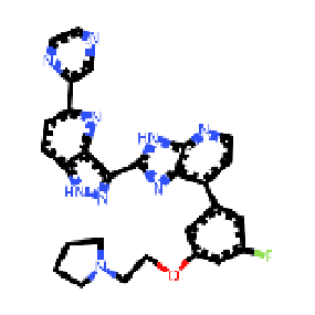 Fc1cc(OCCN2CCCC2)cc(-c2ccnc3[nH]c(-c4n[nH]c5ccc(-c6cnccn6)nc45)nc23)c1